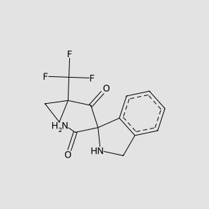 NC(=O)C1(C(=O)C2(C(F)(F)F)CC2)NCc2ccccc21